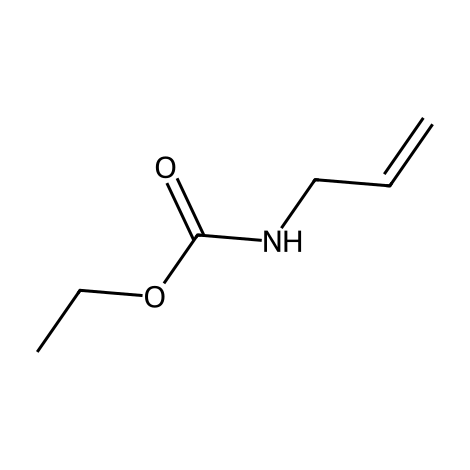 C=CCNC(=O)OCC